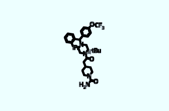 CC(C)c1ccccc1C(c1ccc(OC(F)(F)F)cc1)N1CCN(C(=O)CC2CCN(C(N)=O)CC2)[C@@H](C(C)(C)C)C1